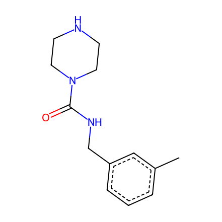 Cc1cccc(CNC(=O)N2CCNCC2)c1